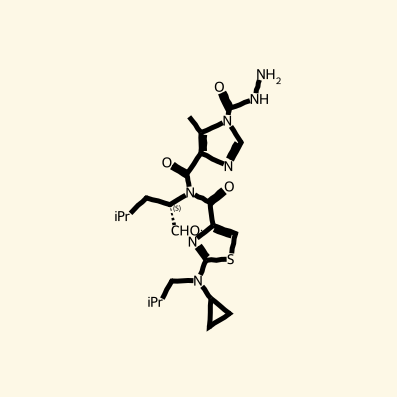 Cc1c(C(=O)N(C(=O)c2csc(N(CC(C)C)C3CC3)n2)[C@H]([C]=O)CC(C)C)ncn1C(=O)NN